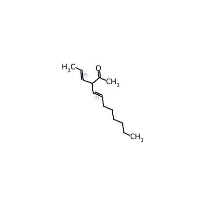 C/C=C/C(/C=C/CCCCCC)C(C)=O